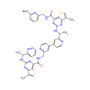 COc1cccc(CNC(=O)c2nc(NC(C)c3cc(-c4ccnc(CNC(=O)c5nc(NC(C)c6ccccn6)nc6c(C)csc56)c4)ccn3)nc3c(C)csc23)n1